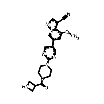 COc1cc(-c2cnc(N3CCN(C(=O)C4CNC4)CC3)nc2)cn2ncc(C#N)c12